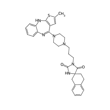 Cc1cc2c(s1)Nc1ccccc1N=C2N1CCN(CCCN2C(=O)NC3(CCc4ccccc4C3)C2=O)CC1